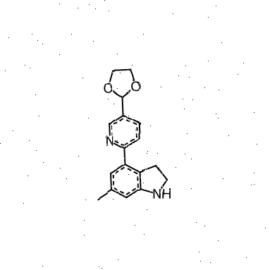 Cc1cc2c(c(-c3ccc(C4OCCO4)cn3)c1)CCN2